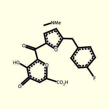 CNC.O=C(O)c1cc(=O)c(O)c(C(=O)c2ccc(Cc3ccc(F)cc3)o2)o1